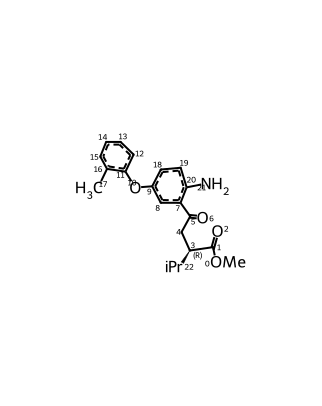 COC(=O)[C@H](CC(=O)c1cc(Oc2ccccc2C)ccc1N)C(C)C